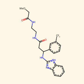 COCC(=O)NCCNC(=O)CC(Nc1nc2ccccc2[nH]1)c1cccc(C(F)(F)F)c1